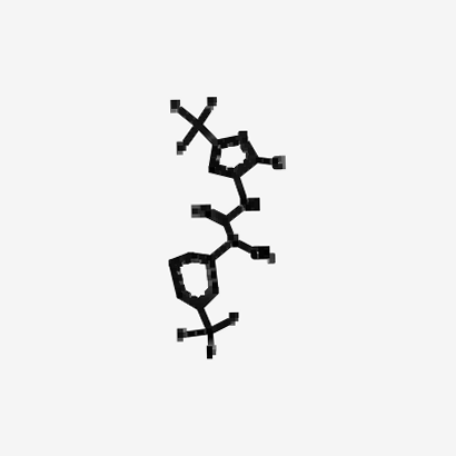 CN(C(=N)Nc1cc(C(F)(F)F)sc1Cl)c1cccc(C(F)(F)F)c1